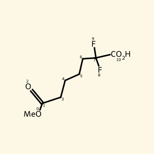 COC(=O)CCCCC(F)(F)C(=O)O